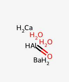 O.O.[BaH2].[CaH2].[O]=[AlH]